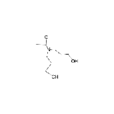 CC(=O)N(CCCO)CCCO